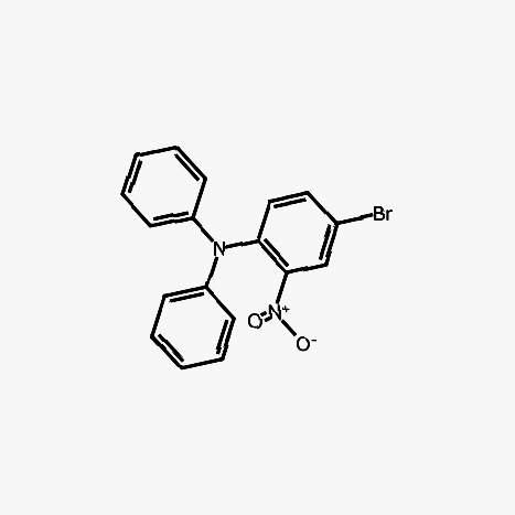 O=[N+]([O-])c1cc(Br)ccc1N(c1ccccc1)c1ccccc1